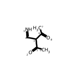 CC(=O)C(C=N)C(C)=O